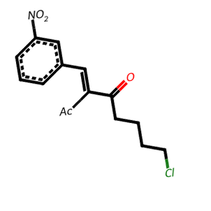 CC(=O)/C(=C\c1cccc([N+](=O)[O-])c1)C(=O)CCCCCl